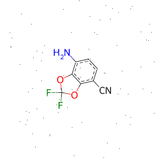 N#Cc1ccc(N)c2c1OC(F)(F)O2